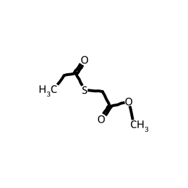 CCC(=O)SCC(=O)OC